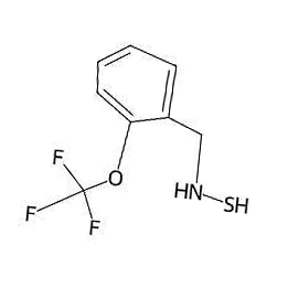 FC(F)(F)Oc1ccccc1CNS